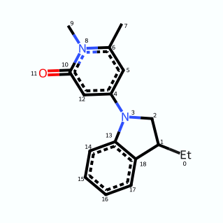 CCC1CN(c2cc(C)n(C)c(=O)c2)c2ccccc21